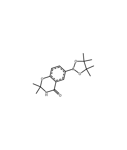 CC1(C)NC(=O)c2cc(B3OC(C)(C)C(C)(C)O3)ccc2O1